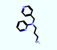 NCCCN(Cc1ccncc1)c1ccccn1